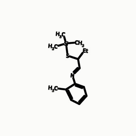 CCC(C=Nc1ccccc1C)S[Si](C)(C)C